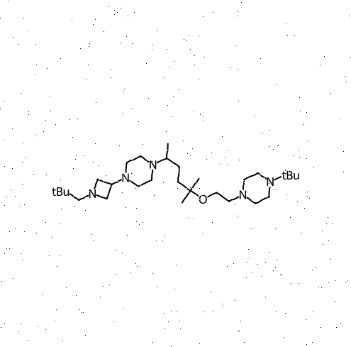 CC(CCC(C)(C)OCCN1CCN(C(C)(C)C)CC1)N1CCN(C2CN(CC(C)(C)C)C2)CC1